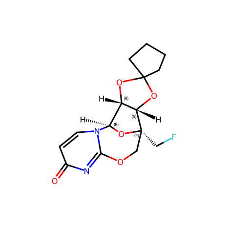 O=c1ccn2c(n1)OC[C@@]1(CF)O[C@@H]2[C@@H]2OC3(CCCC3)O[C@@H]21